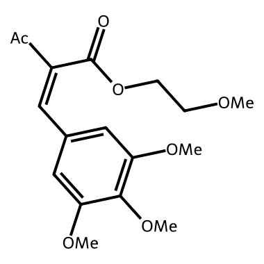 COCCOC(=O)C(=Cc1cc(OC)c(OC)c(OC)c1)C(C)=O